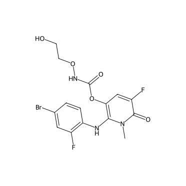 Cn1c(Nc2ccc(Br)cc2F)c(OC(=O)NOCCO)cc(F)c1=O